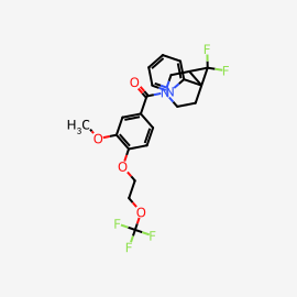 COc1cc(C(=O)N2CCC3(c4ccccn4)C(C2)C3(F)F)ccc1OCCOC(F)(F)F